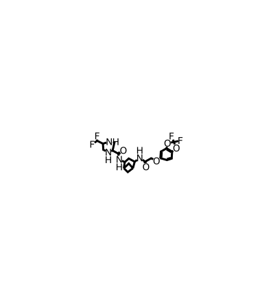 O=C(COc1ccc2c(c1)OC(F)(F)O2)NC1CC(NC(=O)C2CNC(C(F)F)CN2)C2CC1C2